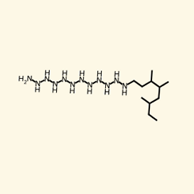 CCC(C)CC(C)C(C)CCNNNNNNNNNNNN